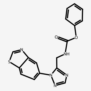 O=C(NCc1ncnn1-c1ccc2scnc2c1)Oc1ccccc1